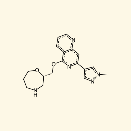 Cn1cc(-c2cc3ncccc3c(OC[C@@H]3CNCCCO3)n2)cn1